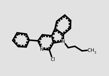 CCCCn1c2ccccc2c2cc(-c3ccccc3)nc(Cl)c21